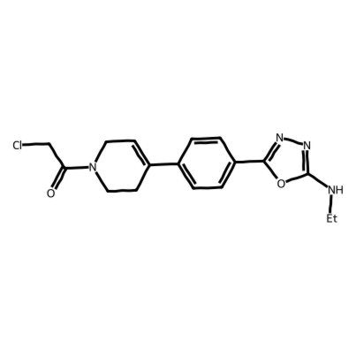 CCNc1nnc(-c2ccc(C3=CCN(C(=O)CCl)CC3)cc2)o1